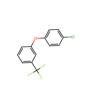 FC(F)(F)c1cc[c]c(Oc2ccc(Cl)cc2)c1